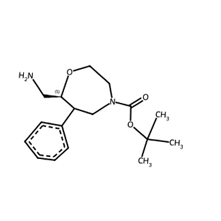 CC(C)(C)OC(=O)N1CCO[C@H](CN)C(c2ccccc2)C1